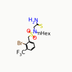 CCCCCCN(CC(N)=S)S(=O)(=O)Cc1cccc(C(F)(F)F)c1Br